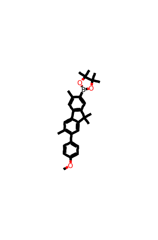 COc1ccc(-c2cc3c(cc2C)-c2cc(C)c(B4OC(C)(C)C(C)(C)O4)cc2C3(C)C)cc1